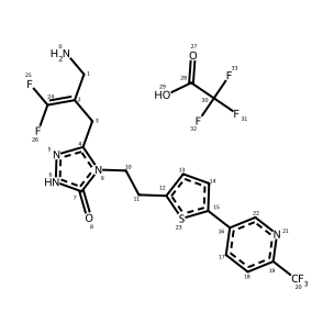 NCC(Cc1n[nH]c(=O)n1CCc1ccc(-c2ccc(C(F)(F)F)nc2)s1)=C(F)F.O=C(O)C(F)(F)F